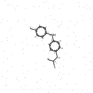 Cc1ccc(Nc2ccc(CC(C)C)cc2)cc1